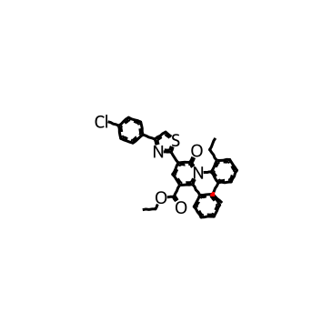 CCOC(=O)c1cc(-c2nc(-c3ccc(Cl)cc3)cs2)c(=O)n(-c2c(CC)cccc2CC)c1-c1ccccc1